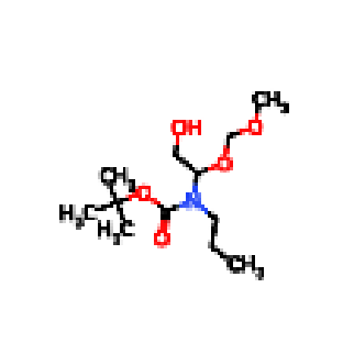 CCCN(C(=O)OC(C)(C)C)C(CO)OCOC